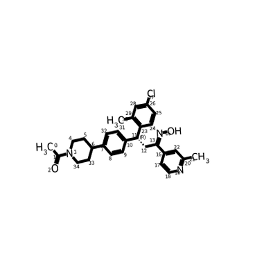 CC(=O)N1CCC(c2ccc([C@@H](CC(=NO)c3ccnc(C)c3)c3ccc(Cl)cc3C)cc2)CC1